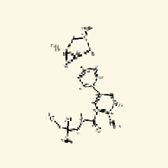 CCC(CO)(CNC(=O)c1cc(-c2ccc([C@]34C[C@H]3CN(C(C)C)C4)cc2)cnc1N)C(C)C